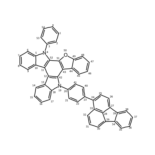 c1ccc(-n2c3ccccc3c3c4c5ccccc5n(-c5ccc(-c6ccc7c8c(cccc68)-c6ccccc6-7)cc5)c4c4c5ccccc5oc4c32)cc1